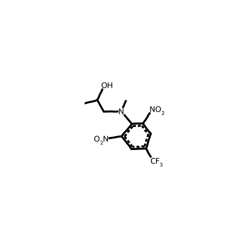 CC(O)CN(C)c1c([N+](=O)[O-])cc(C(F)(F)F)cc1[N+](=O)[O-]